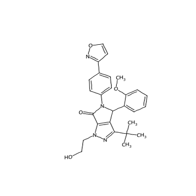 COc1ccccc1C1c2c(C(C)(C)C)nn(CCO)c2C(=O)N1c1ccc(-c2ccon2)cc1